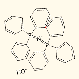 [OH-].c1ccc(P(=[N+]=P(c2ccccc2)(c2ccccc2)c2ccccc2)(c2ccccc2)c2ccccc2)cc1